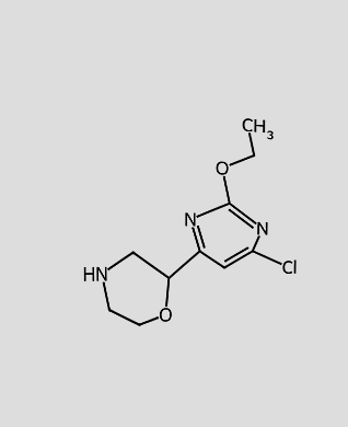 CCOc1nc(Cl)cc(C2CNCCO2)n1